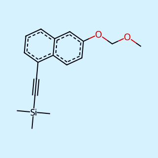 COCOc1ccc2c(C#C[Si](C)(C)C)cccc2c1